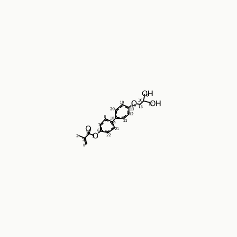 C=C(C)C(=O)Oc1ccc(-c2ccc(OCC(O)O)cc2)cc1